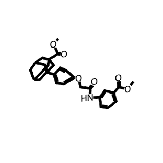 COC(=O)c1cccc(NC(=O)COc2ccc(C34CC5CC(CC(C(=O)OC)(C5)C3)C4)cc2)c1